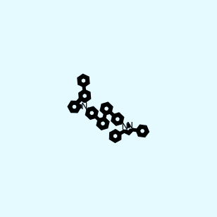 c1ccc(-c2ccc3c(c2)c2ccccc2n3-c2ccc(-c3ccccc3-c3ccccc3-c3ccc(-n4nc(-c5ccccc5)cc4-c4ccccc4)cc3)cc2)cc1